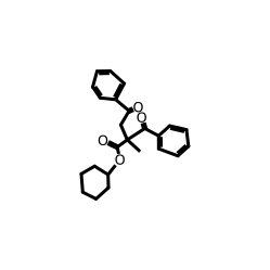 CC(CC(=O)c1ccccc1)(C(=O)OC1CCCCC1)C(=O)c1ccccc1